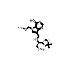 CCCCOCn1cc(CN[C@H](CSC)[C@@H]2COC(C)(C)O2)c2ncnc(O)c21